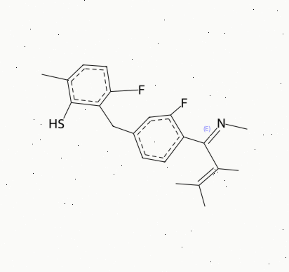 C/N=C(\C(C)=C(C)C)c1ccc(Cc2c(F)ccc(C)c2S)cc1F